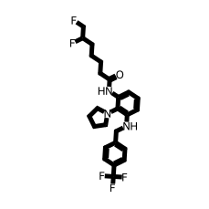 O=C(CCCCC(F)CF)Nc1cccc(NCc2ccc(C(F)(F)F)cc2)c1N1CCCC1